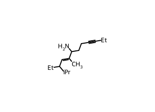 CCC#CCCC(N)/C(C)=C/C(CC)C(C)C